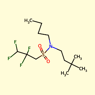 CCCCN(CCC(C)(C)C)S(=O)(=O)CC(F)(F)C(F)F